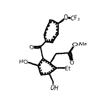 CCc1c(O)cc(O)c(C(=O)c2ccc(OC(F)(F)F)cc2)c1CC(=O)OC